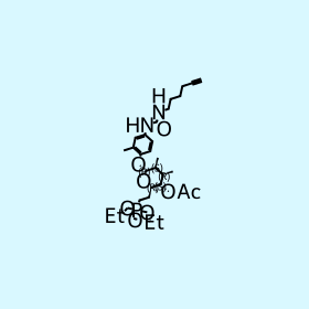 C#CCCCCNC(=O)Nc1ccc(O[C@H]2O[C@H](CCP(=O)(OCC)OCC)[C@@H](OC(C)=O)[C@H](C)[C@@H]2C)c(C)c1